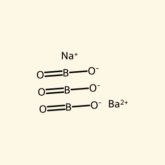 O=B[O-].O=B[O-].O=B[O-].[Ba+2].[Na+]